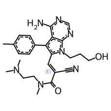 Cc1ccc(-c2c(/C=C(\C#N)C(=O)N(C)CCN(C)C)n(CCCO)c3ncnc(N)c23)cc1